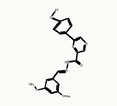 CCCOc1cc(C=NNC(=O)c2cncc(-c3ccc(OCC)cc3)n2)cc(OC)c1